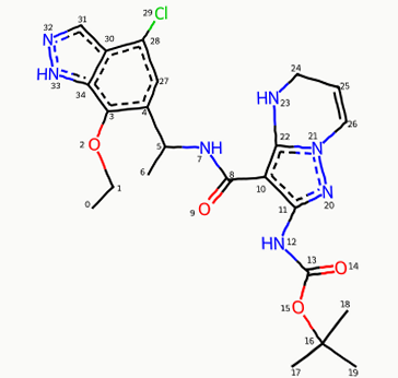 CCOc1c(C(C)NC(=O)c2c(NC(=O)OC(C)(C)C)nn3c2NCC=C3)cc(Cl)c2cn[nH]c12